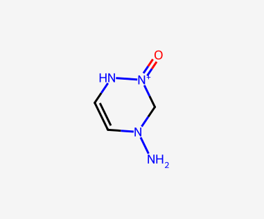 NN1C=CN[N+](=O)C1